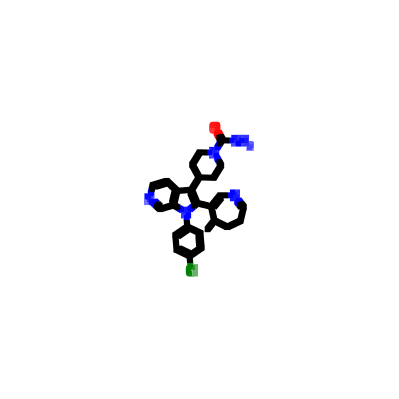 CC1CCC=NC=C1c1c(C2CCN(C(N)=O)CC2)c2ccncc2n1-c1ccc(Cl)cc1